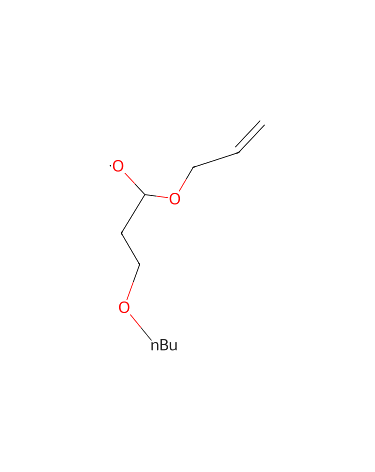 C=CCOC([O])CCOCCCC